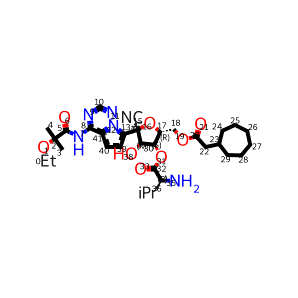 CCOC(C)(C)C(=O)Nc1ncnn2c([C@]3(C#N)O[C@H](COC(=O)CC4CCCCCC4)[C@@H](OC(=O)[C@@H](N)C(C)C)[C@H]3O)ccc12